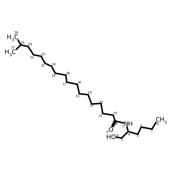 CCCCC(CO)NC(=O)CCCCCCCCCCCCCCCC(C)C